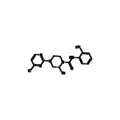 CCCc1ccccc1NC(=O)N1CCN(c2nccc(Cl)n2)CC1C(C)C